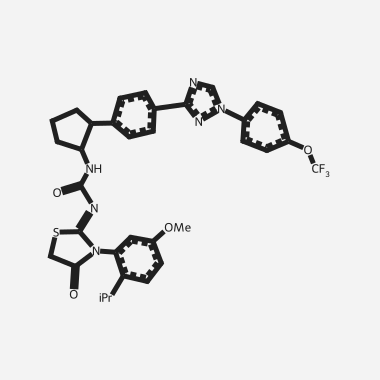 COc1ccc(C(C)C)c(N2C(=O)CS/C2=N\C(=O)NC2CCCC2c2ccc(-c3ncn(-c4ccc(OC(F)(F)F)cc4)n3)cc2)c1